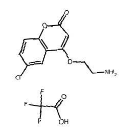 NCCOc1cc(=O)oc2ccc(Cl)cc12.O=C(O)C(F)(F)F